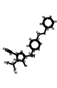 Cc1c(Nc2ccc(OCc3ccccc3)cc2)cc(C#N)n1C(F)F